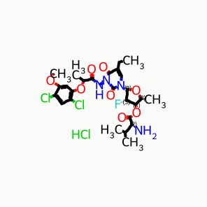 CCc1cn([C@@H]2O[C@H](C)[C@@H](OC(=O)[C@H](N)C(C)C)[C@@H]2F)c(=O)n(NC(=O)C(C)Oc2cc(OC)c(Cl)cc2Cl)c1=O.Cl